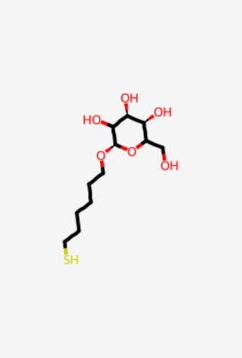 OCC1O[C@@H](OCCCCCCS)C(O)[C@@H](O)[C@H]1O